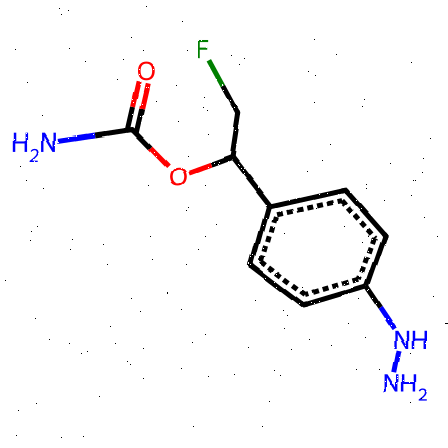 NNc1ccc(C(CF)OC(N)=O)cc1